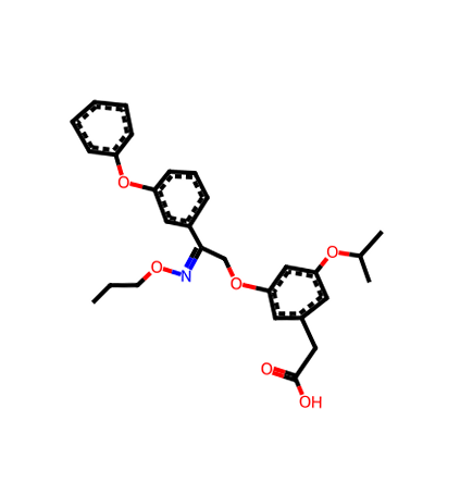 CCCON=C(COc1cc(CC(=O)O)cc(OC(C)C)c1)c1cccc(Oc2ccccc2)c1